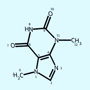 [CH2]n1cnc2c1c(=O)[nH]c(=O)n2C